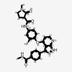 CNC(=O)c1ccc(-c2n[nH]c3nccc(Oc4ccc(NC(=O)C5CCN(C)C5=O)cc4F)c23)cc1